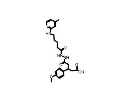 COc1ccc(C(CC(=O)O)CC(=O)NNC(=O)CCCCNc2cc(C)ccn2)cc1